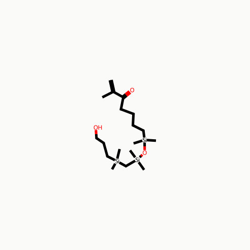 C=C(C)C(=O)CCCC[Si](C)(C)O[Si](C)(C)C[Si](C)(C)CCCO